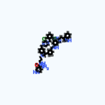 NC1(C(=O)NCCCn2cc(-c3cccc(CNc4ccc5[nH]c(Cc6c[nH]c7ccccc67)nc5c4)c3)c3cc(CN4CCN(Cc5c(Cl)cccc5Cl)CC4)ccc32)CCNCC1